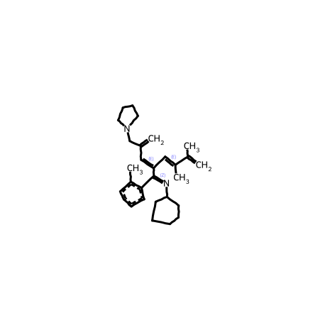 C=C(/C=C(\C=C(/C)C(=C)C)C(=N/C1CCCCC1)/c1ccccc1C)CN1CCCC1